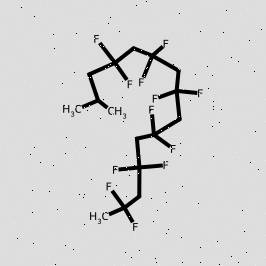 CC(C)CC(F)(F)CC(F)(F)CC(F)(F)CC(F)(F)CC(F)(F)CC(C)(F)F